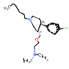 CCCCCN1CC[C@@H](c2ccc(F)cc2)[C@H](COCCN(C)C)C1